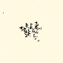 CCCSc1nc(Cl)c(N)c(N[C@H]2C3OC(C)(C)O[C@@H]3[C@@H](O)[C@@H]2F)n1